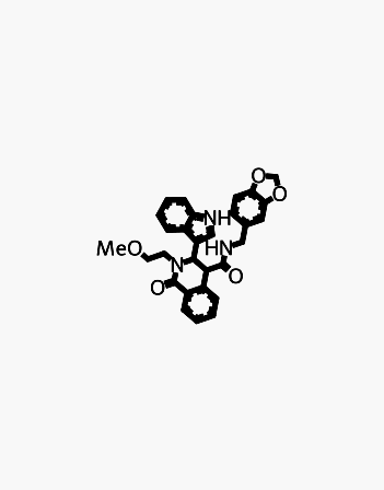 COCCN1C(=O)c2ccccc2C(C(=O)NCc2ccc3c(c2)OCO3)C1c1c[nH]c2ccccc12